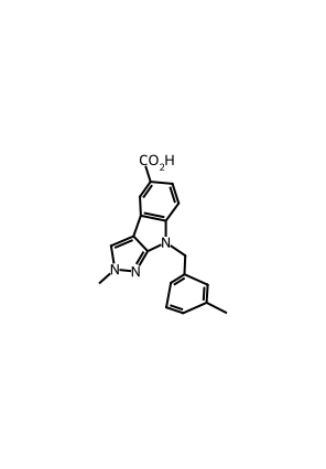 Cc1cccc(Cn2c3ccc(C(=O)O)cc3c3cn(C)nc32)c1